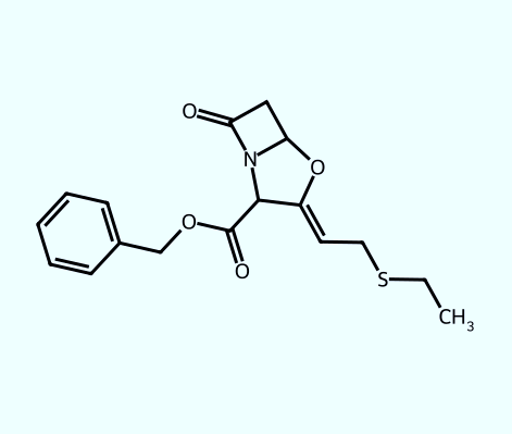 CCSCC=C1OC2CC(=O)N2C1C(=O)OCc1ccccc1